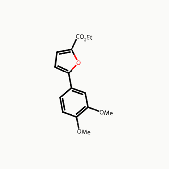 CCOC(=O)c1ccc(-c2ccc(OC)c(OC)c2)o1